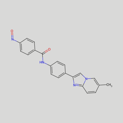 Cc1ccc2nc(-c3ccc(NC(=O)c4ccc(N=O)cc4)cc3)cn2c1